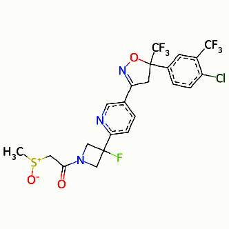 C[S+]([O-])CC(=O)N1CC(F)(c2ccc(C3=NOC(c4ccc(Cl)c(C(F)(F)F)c4)(C(F)(F)F)C3)cn2)C1